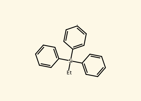 CC[Si](c1cc[c]cc1)(c1ccccc1)c1ccccc1